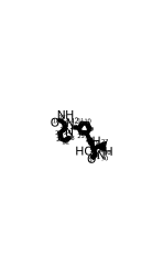 CN1C(=O)[C@@](O)(C#Cc2cccc(-c3nc(C(N)=O)c4ccccn34)c2)[C@@H]2C[C@@H]21